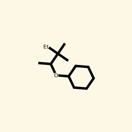 CCC(C)(C)C(C)OC1CCCCC1